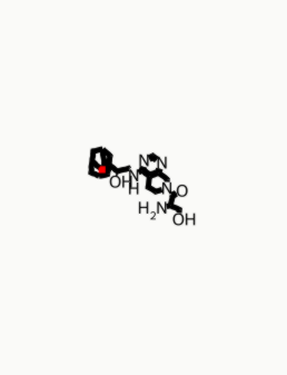 NC(CO)C(=O)N1CCc2c(ncnc2NC[C@H](O)C23CC4CC(CC(C4)C2)C3)C1